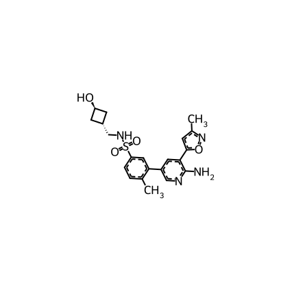 Cc1cc(-c2cc(-c3cc(S(=O)(=O)NC[C@H]4C[C@H](O)C4)ccc3C)cnc2N)on1